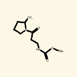 CC1CCCN1C(=O)CCNC(=O)OC(C)(C)C